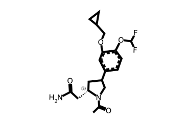 CC(=O)N1CC(c2ccc(OC(F)F)c(OCC3CC3)c2)C[C@H]1CC(N)=O